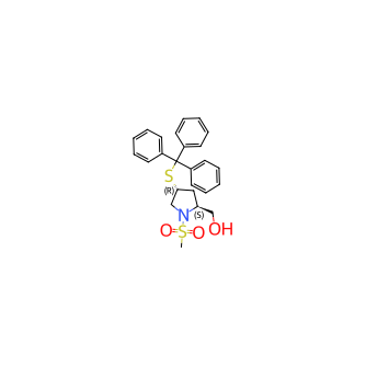 CS(=O)(=O)N1C[C@H](SC(c2ccccc2)(c2ccccc2)c2ccccc2)C[C@H]1CO